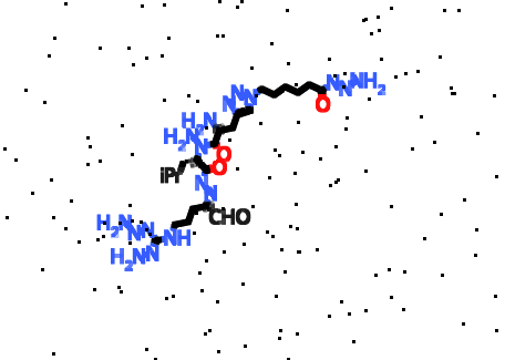 CC(C)C[C@@H](C(=O)N=N[C@H](C=O)CCCNC(N=NN)=NN)N(N)C(=O)[C@@H](N)Cc1cn(CCCCCC(=O)N=NN)nn1